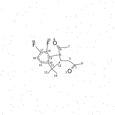 CC(=O)CCC(C(C)=O)c1c(C(C)(C)C)ccc(F)c1F